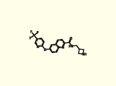 O=C(NCC1CNC1)c1ccc2cc(Oc3ccc(C(F)(F)F)cn3)ccc2n1